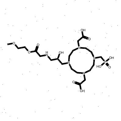 COCCOC(=O)CNCC(O)CN1CCN(CC(=O)O)CCN(CP(=O)(O)O)CCN(CC(=O)O)CC1